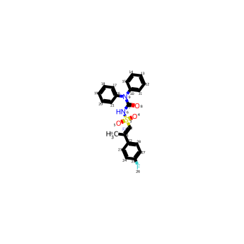 C/C(=C\S(=O)(=O)NC(=O)N(c1ccccc1)c1ccccc1)c1ccc(F)cc1